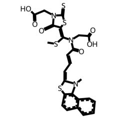 CS/C(=C1/SC(=S)N(CC(=O)O)C1=O)N(CC(=O)O)C(=O)C=CC=C1Sc2ccc3ccccc3c2N1C